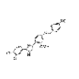 [C-]#[N+]c1ccc(COc2ccc(-c3c[nH]c(-c4ccc(Cl)c(Cl)c4)n3)c(OC)c2)cc1